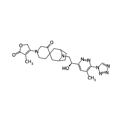 CC1=C(N2CCC3(CC4CCC(C3)N4C[C@H](O)c3cc(C)c(-n4cnnn4)nn3)C(=O)C2)COC1=O